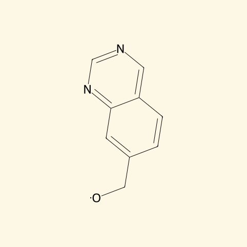 [O]Cc1ccc2cncnc2c1